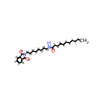 C=CCCCCCCCCC(=O)NCCCCCCCCN1C(=O)c2ccccc2C1=O